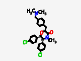 CN(C)Cc1ccc(C[C@@H]2O[C@@H](c3ccc(Cl)cc3)[C@@H](c3ccc(Cl)cc3)N(C)C2=O)cc1